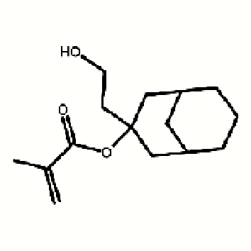 C=C(C)C(=O)OC1(CCO)CC2CCCC(C2)C1